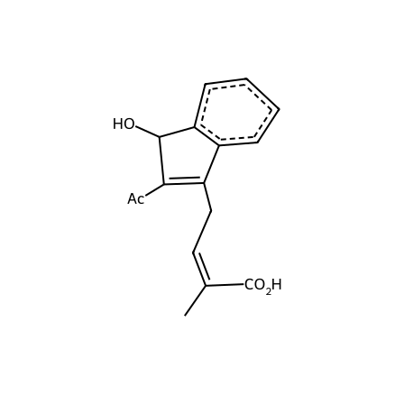 CC(=O)C1=C(C/C=C(/C)C(=O)O)c2ccccc2C1O